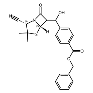 CC1(C)S[C@H]2C(C(O)c3ccc(C(=O)OCc4ccccc4)cc3)C(=O)N2[C@H]1C#N